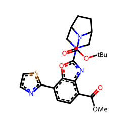 COC(=O)c1ccc(-c2nccs2)c2oc(N3CC4CCC(C3)N4C(=O)OC(C)(C)C)nc12